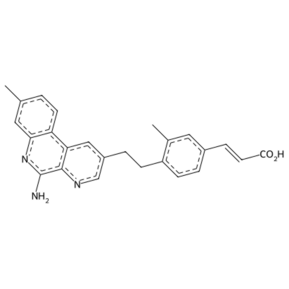 Cc1ccc2c(c1)nc(N)c1ncc(CCc3ccc(C=CC(=O)O)cc3C)cc12